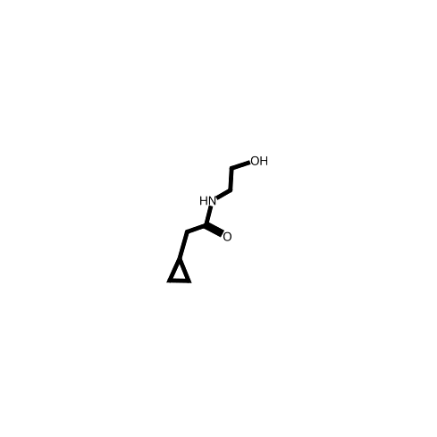 O=C(CC1CC1)NCCO